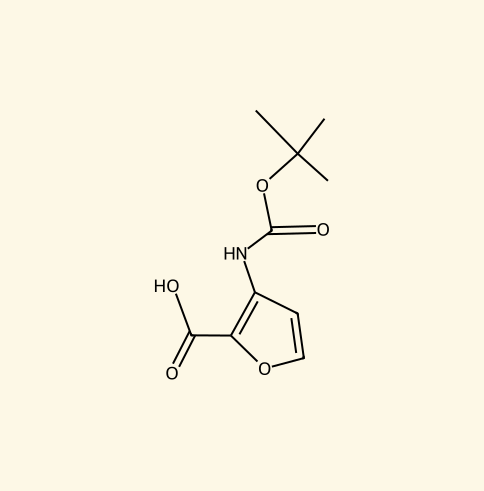 CC(C)(C)OC(=O)Nc1ccoc1C(=O)O